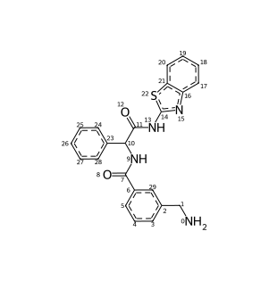 NCc1cccc(C(=O)NC(C(=O)Nc2nc3ccccc3s2)c2ccccc2)c1